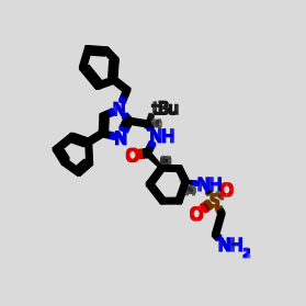 CC(C)(C)[C@@H](NC(=O)[C@@H]1CCC[C@H](NS(=O)(=O)CCN)C1)c1nc(-c2ccccc2)cn1Cc1ccccc1